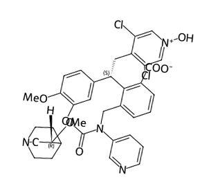 COc1ccc([C@H](Cc2c(Cl)c[n+](O)cc2Cl)c2c(CN(C(=O)O[C@H]3CN4CCC3CC4)c3cccnc3)cccc2C(=O)[O-])cc1OC